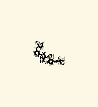 CN1C(=O)C(NC(=O)c2cc(Cc3cccnc3F)ccn2)COc2ccc(C#CC3(O)COC3)cc21